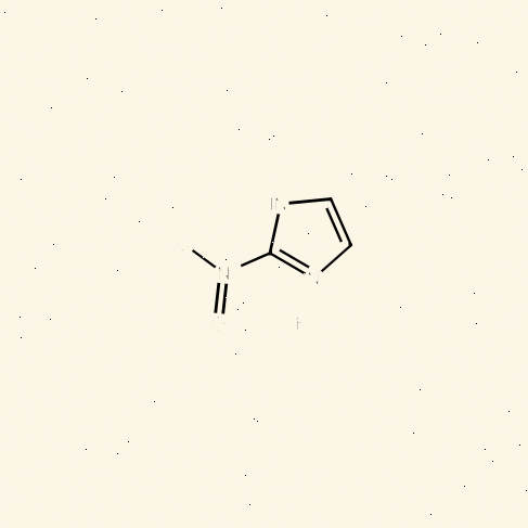 O=[N+]([O-])c1ncc[nH]1.[K+]